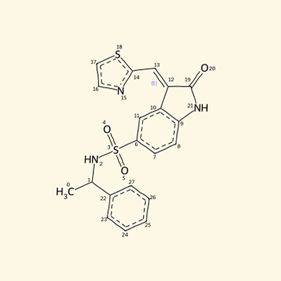 CC(NS(=O)(=O)c1ccc2c(c1)/C(=C\c1nccs1)C(=O)N2)c1ccccc1